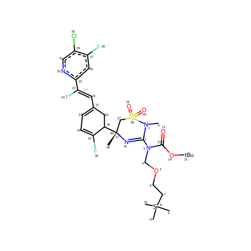 CN1C(N(COCC[Si](C)(C)C)C(=O)OC(C)(C)C)=N[C@](C)(C2CC(/C=C(\F)c3cc(F)c(Cl)cn3)=CC=C2F)CS1(=O)=O